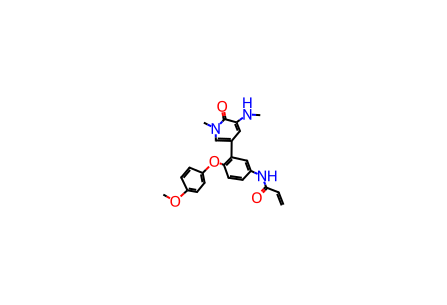 C=CC(=O)Nc1ccc(Oc2ccc(OC)cc2)c(-c2cc(NC)c(=O)n(C)c2)c1